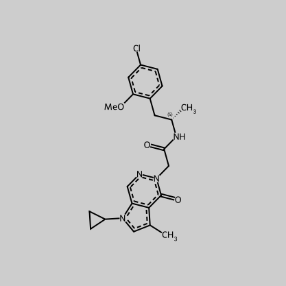 COc1cc(Cl)ccc1C[C@H](C)NC(=O)Cn1ncc2c(c(C)cn2C2CC2)c1=O